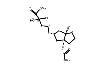 CCCCCCC=C[C@H]1CC[C@H]2O[C@@H](CCCC(O)(O)C(=O)OC)C[C@H]12